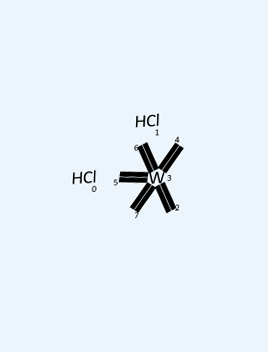 Cl.Cl.[CH2]=[W](=[CH2])(=[CH2])(=[CH2])=[CH2]